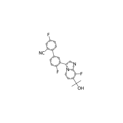 CC(C)(O)c1ccn2c(-c3cc(-c4ccc(F)cc4C#N)ccc3F)cnc2c1F